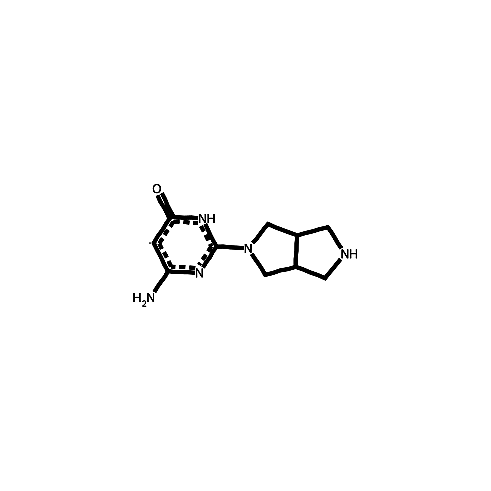 Nc1[c]c(=O)[nH]c(N2CC3CNCC3C2)n1